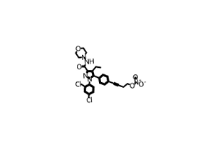 CCc1c(C(=O)NN2CCOCC2)nn(-c2ccc(Cl)cc2Cl)c1-c1ccc(C#CCCO[N+](=O)[O-])cc1